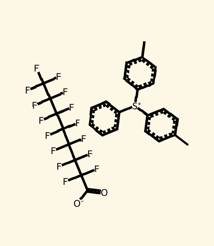 Cc1ccc([S+](c2ccccc2)c2ccc(C)cc2)cc1.O=C([O-])C(F)(F)C(F)(F)C(F)(F)C(F)(F)C(F)(F)C(F)(F)C(F)(F)F